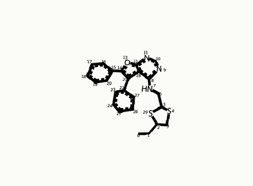 CCC1CSC(CNc2ncnc3oc(-c4ccccc4)c(-c4ccccc4)c23)S1